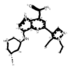 CCn1ncc(-c2cc(C(N)=O)c3ncnc(N[C@@H]4CNC[C@@H](F)C4)c3n2)c1C